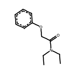 CCN(CC)C(=O)COc1[c]cccc1